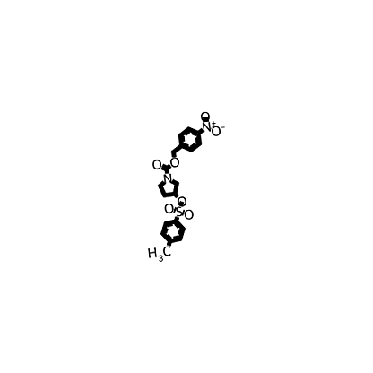 Cc1ccc(S(=O)(=O)OC2CCN(C(=O)OCc3ccc([N+](=O)[O-])cc3)C2)cc1